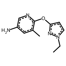 CCn1ccc(Oc2ncc(N)cc2C)n1